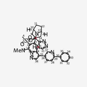 CNc1c(S(C)(=O)=O)c([C@H]2C[C@H]3CC[C@@H](C2)N3C(=O)c2nnc[nH]2)nc2c(-c3ccc(-c4ccccc4)nc3)cnn12